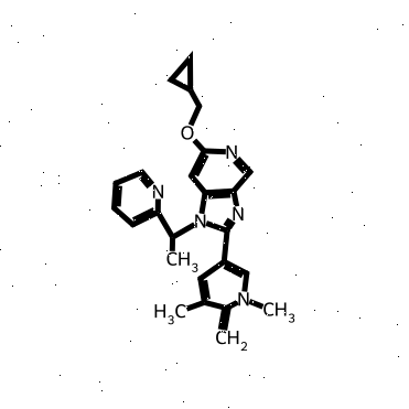 C=C1C(C)=CC(c2nc3cnc(OCC4CC4)cc3n2C(C)c2ccccn2)=CN1C